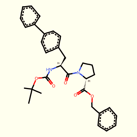 CC(C)(C)OC(=O)N[C@@H](Cc1ccc(-c2ccccc2)cc1)C(=O)N1CCC[C@@H]1C(=O)OCc1ccccc1